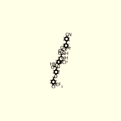 COC(=O)[C@H](Cc1ccc(-c2ccc(C#N)cc2)cc1)NC(=O)C1Cc2cc3c(cc2CN1)OC(c1ccc(OCc2ccc(Cl)c(C(F)(F)F)c2)cc1)C(=O)N3.Cl